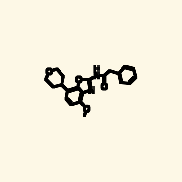 COc1ccc(C2CCOCC2)c2oc(NC(=O)Cc3ccccc3)nc12